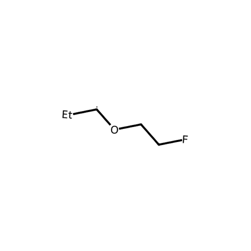 CC[CH]OCCF